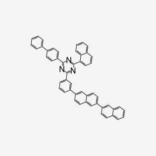 c1ccc(-c2ccc(-c3nc(-c4cccc(-c5ccc6cc(-c7ccc8ccccc8c7)ccc6c5)c4)nc(-c4cccc5ccccc45)n3)cc2)cc1